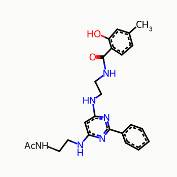 CC(=O)NCCNc1cc(NCCNC(=O)c2ccc(C)cc2O)nc(-c2ccccc2)n1